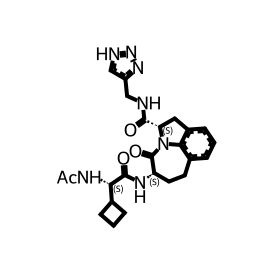 CC(=O)N[C@H](C(=O)N[C@H]1CCc2cccc3c2N(C1=O)[C@H](C(=O)NCc1c[nH]nn1)C3)C1CCC1